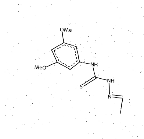 COc1cc(NC(=S)N/N=C/I)cc(OC)c1